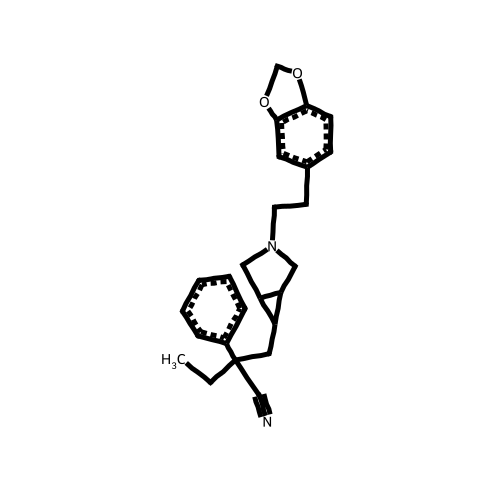 CCC(C#N)(CC1C2CN(CCc3ccc4c(c3)OCO4)CC21)c1ccccc1